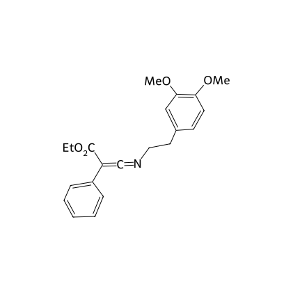 CCOC(=O)C(=C=NCCc1ccc(OC)c(OC)c1)c1ccccc1